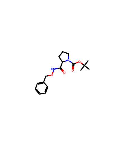 CC(C)(C)OC(=O)N1CCCC1C(=O)NOCc1ccccc1